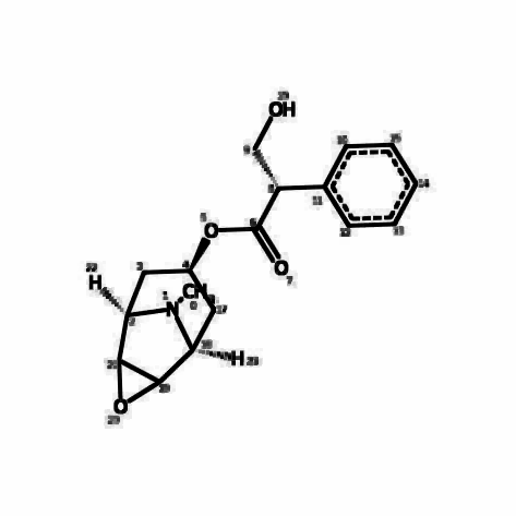 CN1[C@@H]2C[C@@H](OC(=O)[C@H](CO)c3ccccc3)C[C@H]1C1OC12